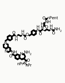 CCCCCC(=O)NCC(=O)N[C@@H](CCCNC(N)=O)C(=O)Nc1ccc(COC(=O)NCCNC(=O)c2ccc(CN3CCc4ncc(NC(=O)c5ccc6c(c5)N=C(N)CC(C(=O)N(CCC)CCC)=C6)cc4C3)cc2)cc1